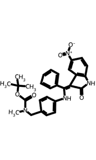 CN(Cc1ccc(N/C(=C2\C(=O)Nc3ccc([N+](=O)[O-])cc32)c2ccccc2)cc1)C(=O)OC(C)(C)C